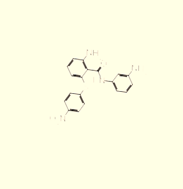 Nc1cccc(NC(=O)c2c(N)cccc2Sc2ccc([N+](=O)[O-])cc2)c1